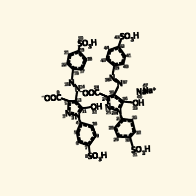 O=C([O-])c1nn(-c2ccc(S(=O)(=O)O)cc2)c(O)c1/N=N/c1ccc(S(=O)(=O)O)cc1.O=C([O-])c1nn(-c2ccc(S(=O)(=O)O)cc2)c(O)c1/N=N/c1ccc(S(=O)(=O)O)cc1.[Na+].[Na+]